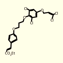 CCOC(=O)C=Cc1ccc(OCCCOc2c(Cl)cc(OCC=C(Cl)Cl)cc2Cl)cc1